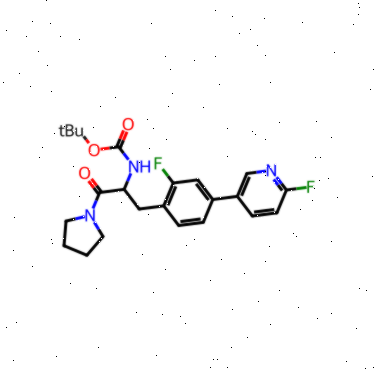 CC(C)(C)OC(=O)NC(Cc1ccc(-c2ccc(F)nc2)cc1F)C(=O)N1CCCC1